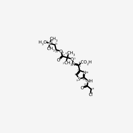 CC(C)(ON=C(C(=O)O)c1csc(NC(=O)CCl)n1)C(=O)OCC[Si](C)(C)C